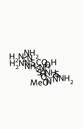 CO/N=C(\C(=O)NC1C(=O)N2C(C(=O)O)=C(CSC3=NC(N)=C(N)C(N)N3N)CS[C@@H]12)c1csc(N)n1